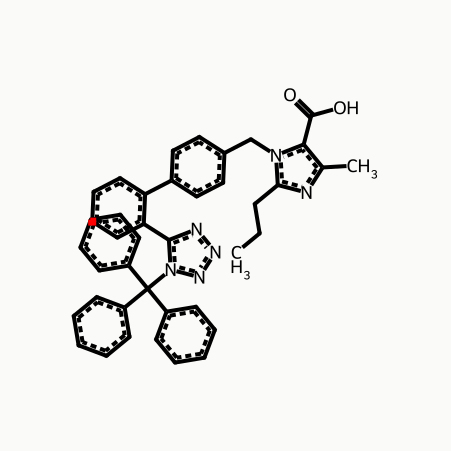 CCCc1nc(C)c(C(=O)O)n1Cc1ccc(-c2ccccc2-c2nnnn2C(c2ccccc2)(c2ccccc2)c2ccccc2)cc1